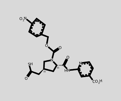 O=C(S)C[C@@H]1C[C@@H](C(=O)Nc2cc(C(=O)O)ccn2)N(C(=O)OCc2ccc([N+](=O)[O-])cc2)C1